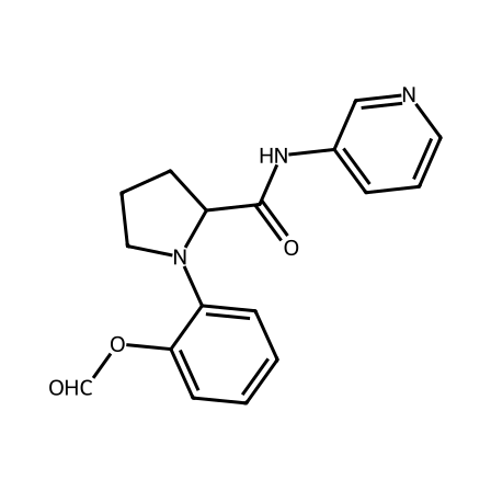 O=COc1ccccc1N1CCCC1C(=O)Nc1cccnc1